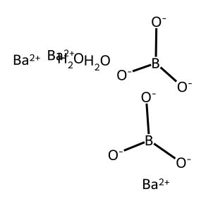 O.O.[Ba+2].[Ba+2].[Ba+2].[O-]B([O-])[O-].[O-]B([O-])[O-]